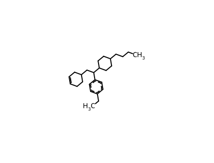 CCCCC1CCC(C(CC2CC=CCC2)c2ccc(CC)cc2)CC1